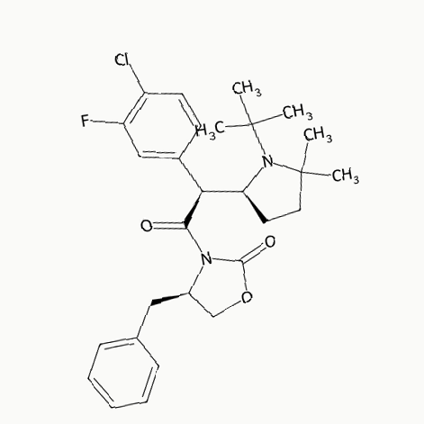 CC(C)(C)N1[C@H]([C@@H](C(=O)N2C(=O)OC[C@H]2Cc2ccccc2)c2ccc(Cl)c(F)c2)CCC1(C)C